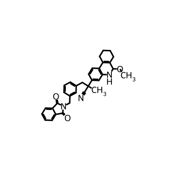 COC1Nc2cc(C(C)(C#N)Cc3cccc(CN4C(=O)c5ccccc5C4=O)c3)ccc2C2=C1CCCC2